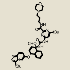 CC(C)(C)c1cc(NC(=O)N[C@@]2(C=O)C=C[C@@H](Oc3ccc4nnc(C(C)(C)C)n4c3)c3ccccc32)nc(C(=O)NCCCN2CCOCC2)n1